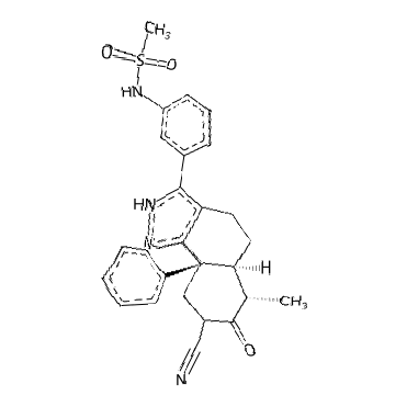 C[C@@H]1C(=O)C(C#N)C[C@]2(c3ccccc3)c3n[nH]c(-c4cccc(NS(C)(=O)=O)c4)c3CC[C@@H]12